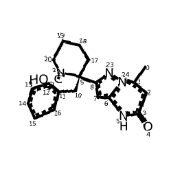 Cc1cc(=O)[nH]c2cc([C@@]3(Cc4ccccc4)CCCCN3C(=O)O)nn12